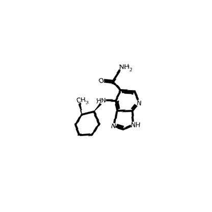 C[C@@H]1CCCC[C@@H]1Nc1c(C(N)=O)cnc2[nH]cnc12